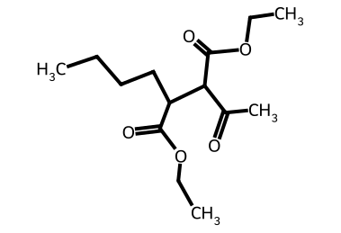 CCCCC(C(=O)OCC)C(C(C)=O)C(=O)OCC